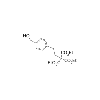 CCOC(=O)C(CCc1ccc(CO)cc1)(C(=O)OCC)C(=O)OCC